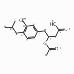 CC(=O)SC(CC(=O)O)Cc1ccc(CC(C)C)c(Cl)c1